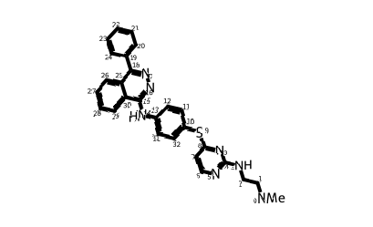 CNCCNc1nccc(Sc2ccc(Nc3nnc(-c4ccccc4)c4ccccc34)cc2)n1